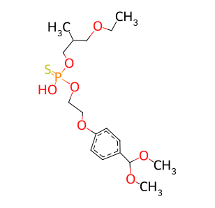 CCOCC(C)COP(O)(=S)OCCOc1ccc(C(OC)OC)cc1